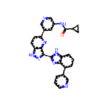 O=C(Nc1cncc(-c2ccc3[nH]nc(-c4nc5c(-c6cccnc6)cccc5[nH]4)c3n2)c1)C1CC1